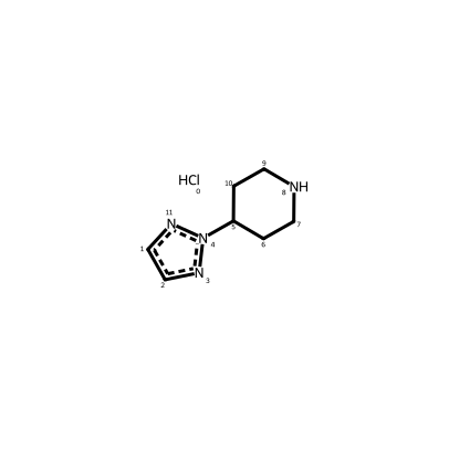 Cl.c1cnn(C2CCNCC2)n1